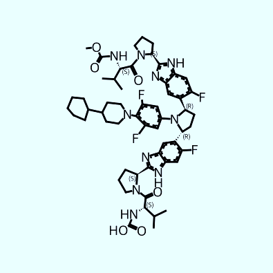 COC(=O)N[C@H](C(=O)N1CCC[C@H]1c1nc2cc([C@H]3CC[C@H](c4cc5nc([C@@H]6CCCN6C(=O)[C@@H](NC(=O)O)C(C)C)[nH]c5cc4F)N3c3cc(F)c(N4CCC(C5CCCCC5)CC4)c(F)c3)c(F)cc2[nH]1)C(C)C